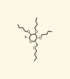 CCCCOC[C@H]1O[C@H](F)[C@@H](OCCCC)[C@@H](OCCCC)[C@@H]1OCCCC